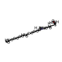 CC(C)(C)OC(=O)NCCOCCOCCOCCOCCOCCNC(=O)CCOCCOCCOCCOCCOC/C(=C/NCCOCCNC(=O)CCCC[C@@H]1SCC2NC(=O)NC21)NN